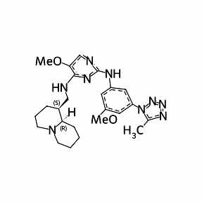 COc1cc(Nc2ncc(OC)c(NC[C@@H]3CCCN4CCCC[C@H]34)n2)cc(-n2nnnc2C)c1